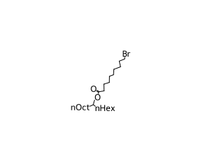 CCCCCCCCC(CCCCCC)COC(=O)CCCCCCCCCBr